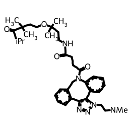 CNCCn1nnc2c1-c1ccccc1N(C(=O)CCC(=O)NCCC(C)(C)OCCC(C)(C)C(=O)C(C)C)Cc1ccccc1-2